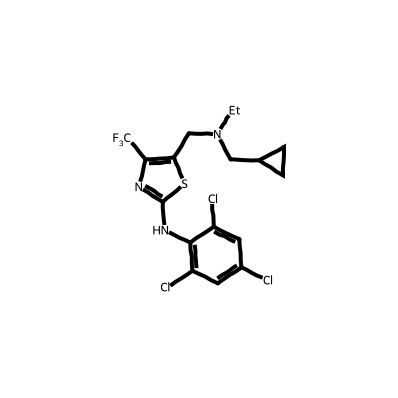 CCN(Cc1sc(Nc2c(Cl)cc(Cl)cc2Cl)nc1C(F)(F)F)CC1CC1